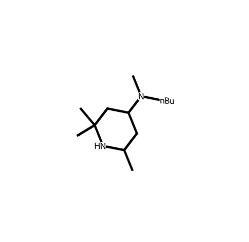 CCCCN(C)C1CC(C)NC(C)(C)C1